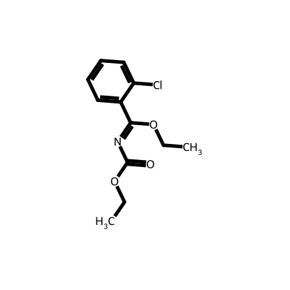 CCOC(=O)N=C(OCC)c1ccccc1Cl